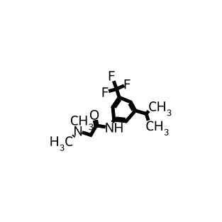 CC(C)c1cc(NC(=O)CN(C)C)cc(C(F)(F)F)c1